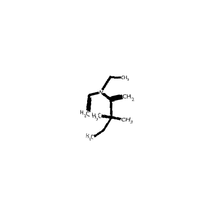 C=CN(CC)C(=C)C(C)(C)CC